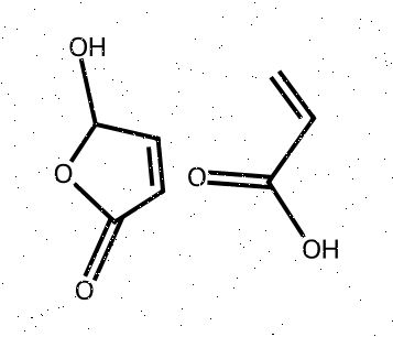 C=CC(=O)O.O=C1C=CC(O)O1